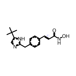 CC(C)(C)c1cnc(Cc2ccc(/C=C/C(=O)NO)cc2)[nH]1